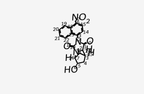 O=C1[C@H]2[C@H]3C[C@@H](O)[C@H](C3)N2C(=O)N1c1ccc([N+](=O)[O-])c2ccccc12